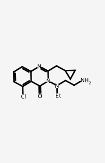 CCN(CCN)n1c(CC2CC2)nc2cccc(Cl)c2c1=O